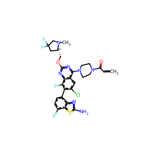 C=CC(=O)N1CCN(c2nc(OC[C@@H]3CC(F)(F)CN3C)nc3c(F)c(-c4ccc(F)c5sc(N)nc45)c(Cl)cc23)CC1